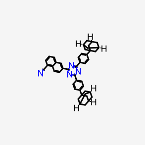 N#Cc1cccc2cc(-c3nc(-c4ccc(C56C[C@H]7C[C@@H](C5)C[C@@H](C6)C7)cc4)nc(-c4ccc(C56C[C@H]7C[C@@H](C5)C[C@@H](C6)C7)cc4)n3)ccc12